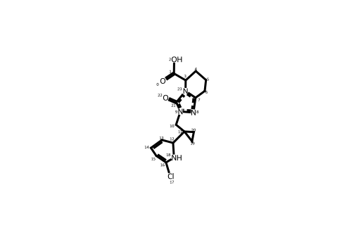 O=C(O)C1CCCc2nn(CC3(C4C=CC=C(Cl)N4)CC3)c(=O)n21